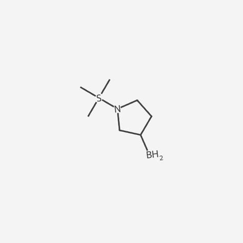 BC1CCN(S(C)(C)C)C1